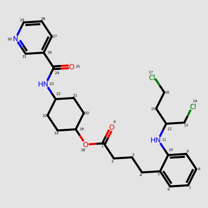 O=C(CCCc1ccccc1NC(CCl)CCCl)OC1CCC(NC(=O)c2cccnc2)CC1